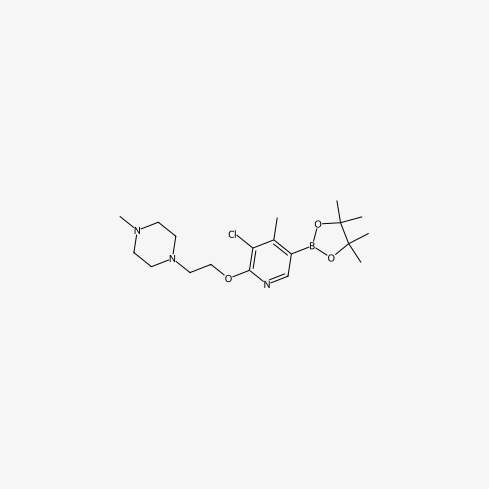 Cc1c(B2OC(C)(C)C(C)(C)O2)cnc(OCCN2CCN(C)CC2)c1Cl